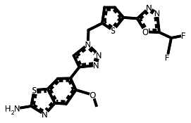 COc1cc2nc(N)sc2cc1-c1cn(Cc2ccc(-c3nnc(C(F)F)o3)s2)nn1